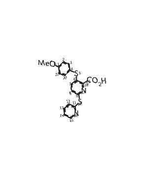 COc1ccc(Sc2ccc(Sc3ccccn3)nc2C(=O)O)cc1